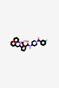 COC(=O)C1=C(C(=O)NC2CCN(C(=O)c3cccc(F)c3)CC2)C2C=CC1(C(Cc1ccccc1)Nc1ccccc1)O2